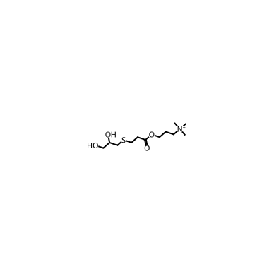 C[N+](C)(C)CCCOC(=O)CCSCC(O)CO